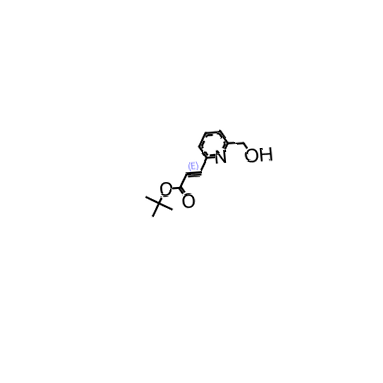 CC(C)(C)OC(=O)/C=C/c1cccc(CO)n1